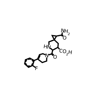 NC(=O)C1CC12CNC(C(=O)N1CC=C(c3ccccc3F)CC1)C(C(=O)O)C2